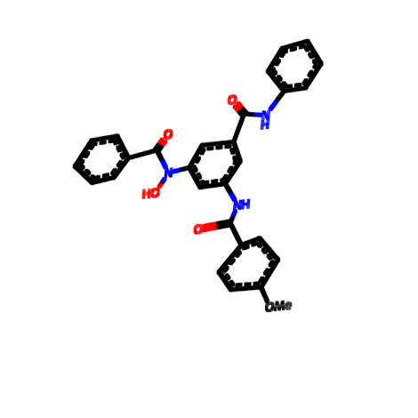 COc1ccc(C(=O)Nc2cc(C(=O)Nc3ccccc3)cc(N(O)C(=O)c3ccccc3)c2)cc1